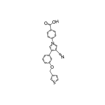 N#Cc1cn(-c2ccc(C(=O)O)cc2)cc1-c1cccc(OCc2ccsc2)c1